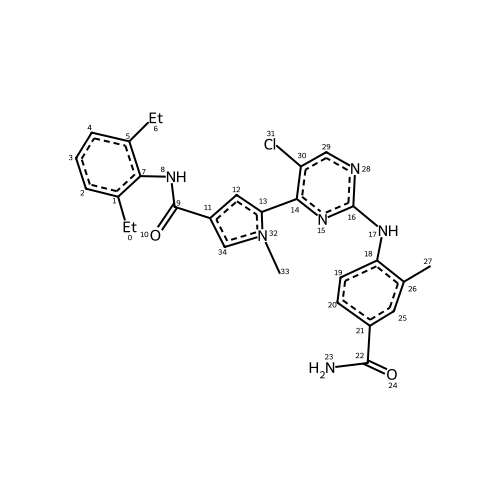 CCc1cccc(CC)c1NC(=O)c1cc(-c2nc(Nc3ccc(C(N)=O)cc3C)ncc2Cl)n(C)c1